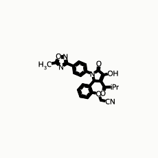 Cc1nc(-c2ccc(N3C(=O)C(O)=C(C(=O)C(C)C)C3c3ccccc3OCC#N)cc2)no1